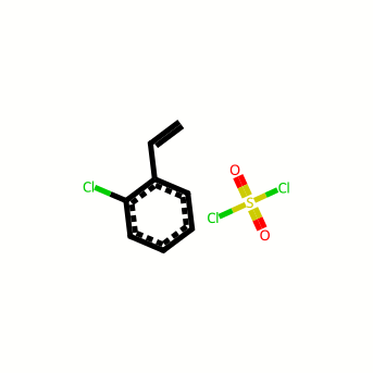 C=Cc1ccccc1Cl.O=S(=O)(Cl)Cl